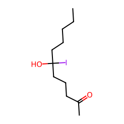 CCCCCC(O)(I)CCCC(C)=O